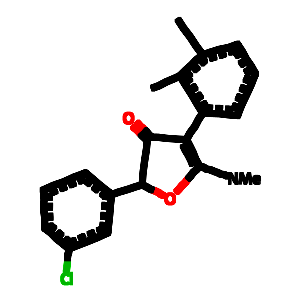 CNC1=C(c2cccc(C)c2C)C(=O)C(c2cccc(Cl)c2)O1